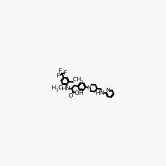 CCc1cc(C(F)(F)F)cc(C)c1NC(Cc1ccc(N2CCC(CNc3ccccn3)CC2)cc1)C(=O)O